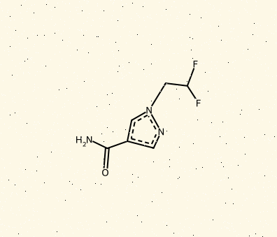 NC(=O)c1cnn(CC(F)F)c1